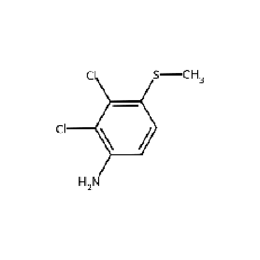 CSc1ccc(N)c(Cl)c1Cl